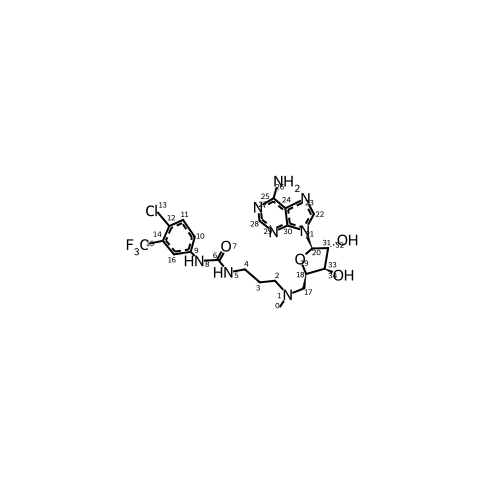 CN(CCCNC(=O)Nc1ccc(Cl)c(C(F)(F)F)c1)C[C@H]1O[C@@H](n2cnc3c(N)ncnc32)[C@H](O)[C@H]1O